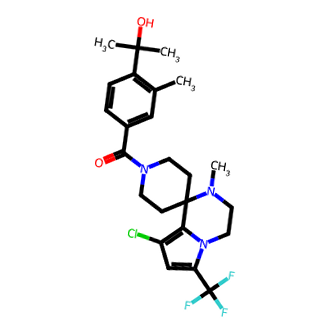 Cc1cc(C(=O)N2CCC3(CC2)c2c(Cl)cc(C(F)(F)F)n2CCN3C)ccc1C(C)(C)O